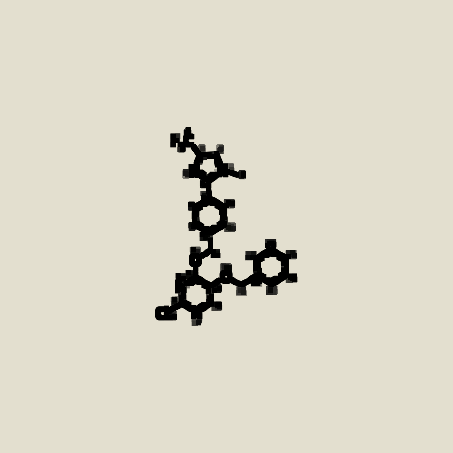 Cn1cc(C(F)(F)F)nc1-c1ccc(COc2nc(Cl)ncc2OCc2ccccc2)cc1